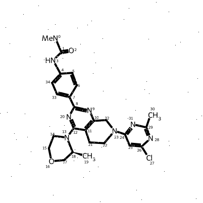 CNC(=O)Nc1ccc(-c2nc3c(c(N4CCOC[C@@H]4C)n2)CCN(c2cc(Cl)nc(C)n2)C3)cc1